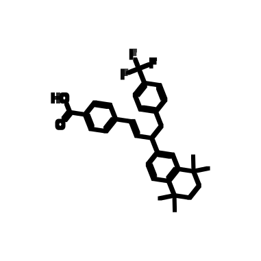 CC1(C)CCC(C)(C)c2cc(C(C=Cc3ccc(C(=O)O)cc3)Cc3ccc(C(F)(F)F)cc3)ccc21